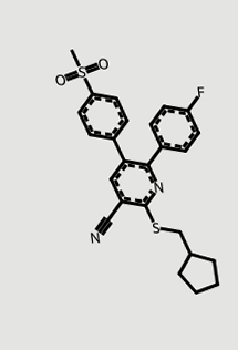 CS(=O)(=O)c1ccc(-c2cc(C#N)c(SCC3CCCC3)nc2-c2ccc(F)cc2)cc1